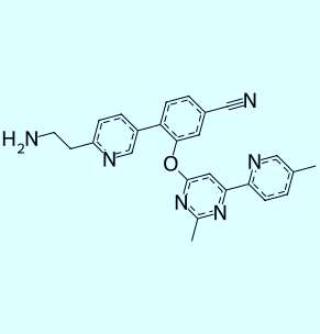 Cc1ccc(-c2cc(Oc3cc(C#N)ccc3-c3ccc(CCN)nc3)nc(C)n2)nc1